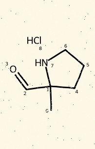 CC1(C=O)CCCN1.Cl